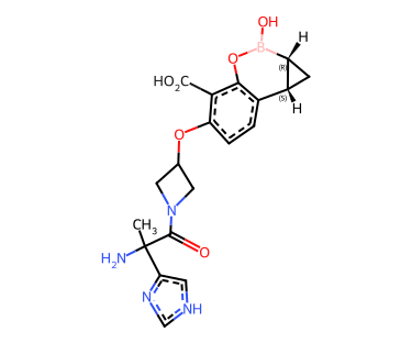 CC(N)(C(=O)N1CC(Oc2ccc3c(c2C(=O)O)OB(O)[C@@H]2C[C@H]32)C1)c1c[nH]cn1